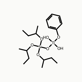 CCC(C)O[Si](OC(C)CC)(OC(C)CC)[O][Ti]([OH])([OH])[O]c1ccccc1